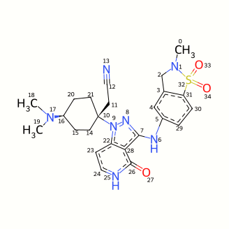 CN1Cc2cc(Nc3nn([C@]4(CC#N)CC[C@@H](N(C)C)CC4)c4cc[nH]c(=O)c34)ccc2S1(=O)=O